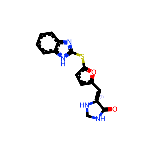 O=C1NCN/C1=C\c1ccc(Sc2nc3ccccc3[nH]2)o1